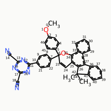 COc1ccc(C2(c3ccc(-c4nc(C#N)nc(C#N)n4)cc3)C=Cc3c4c(c5ccccc5c3O2)-c2ccccc2C4(C)C)cc1